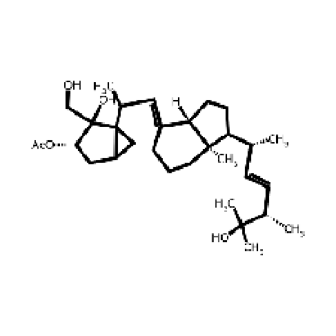 CC(=O)O[C@H]1CC2CC2(C(C)/C=C2\CCC[C@]3(C)C([C@H](C)/C=C/[C@H](C)C(C)(C)O)CC[C@@H]23)C1(O)CO